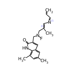 C=C/C=N\C=C(/C)CN(F)Cc1cc2cc(C)cc(C)c2[nH]c1=O